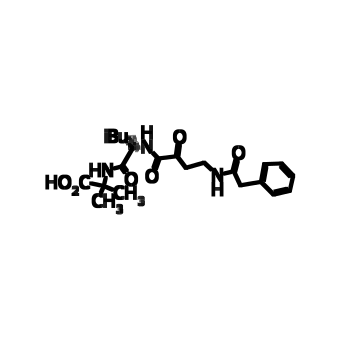 CC[C@H](C)[C@H](NC(=O)C(=O)CCNC(=O)Cc1ccccc1)C(=O)NC(C)(C)C(=O)O